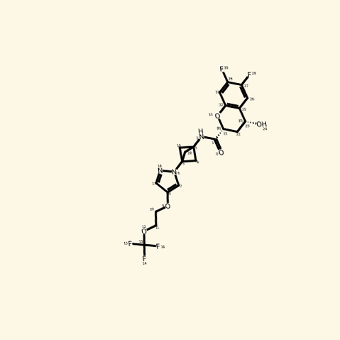 O=C(NC12CC(n3cc(OCCOC(F)(F)F)cn3)(C1)C2)[C@H]1C[C@@H](O)c2cc(F)c(F)cc2O1